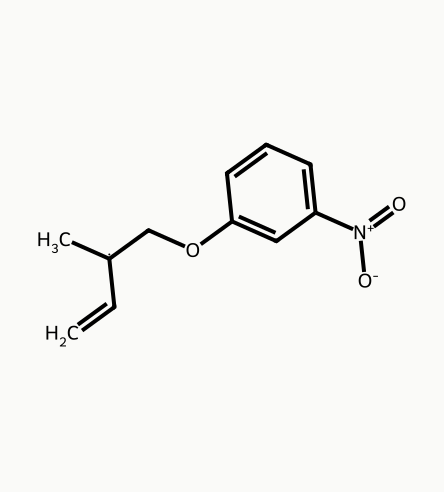 C=C[C](C)COc1cccc([N+](=O)[O-])c1